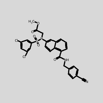 COC(=O)CN(c1ccc2c(C(=O)NCc3ccc(C#N)cc3)cccc2c1)S(=O)(=O)c1cc(Cl)cc(Cl)c1